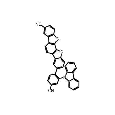 N#Cc1ccc(-c2ccc3sc4c(ccc5c6cc(C#N)ccc6sc54)c3c2)c(-n2c3ccccc3c3ccccc32)c1